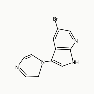 Brc1cnc2[nH]cc(N3C=CN=CC3)c2c1